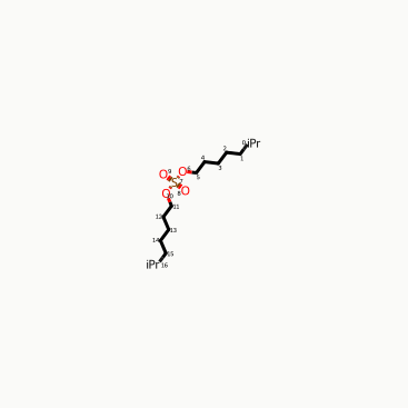 CC(C)CCCCCOS(=O)(=O)OCCCCCC(C)C